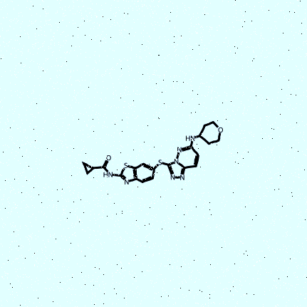 O=C(Nc1nc2ccc(Sc3nnc4ccc(NC5CCOCC5)nn34)cc2s1)C1CC1